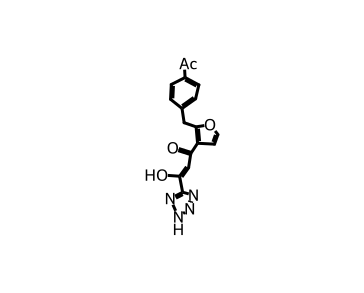 CC(=O)c1ccc(Cc2occc2C(=O)C=C(O)c2nn[nH]n2)cc1